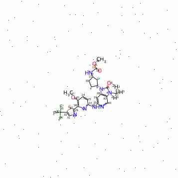 [2H]C([2H])([2H])n1c(=O)n([C@@H]2CC[C@@H](NC(=O)OC)C2)c2cc(Nc3ccc(OC)c(-c4ncc(C(F)(F)F)s4)n3)ncc21